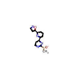 C[S+]([O-])c1nccc(-c2cccc(-c3ccno3)n2)n1